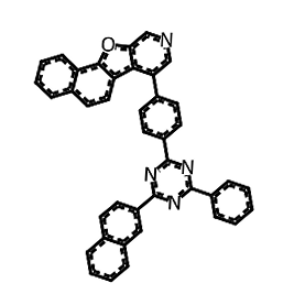 c1ccc(-c2nc(-c3ccc(-c4cncc5oc6c7ccccc7ccc6c45)cc3)nc(-c3ccc4ccccc4c3)n2)cc1